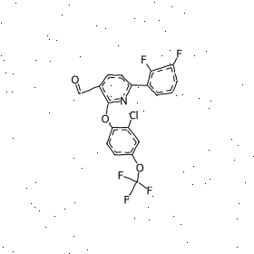 O=Cc1ccc(-c2cccc(F)c2F)nc1Oc1ccc(OC(F)(F)F)cc1Cl